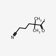 CC(C)(CCCC#N)C(=O)I